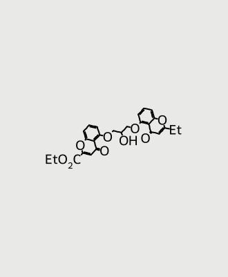 CCOC(=O)c1cc(=O)c2c(OCC(O)COc3cccc4oc(CC)cc(=O)c34)cccc2o1